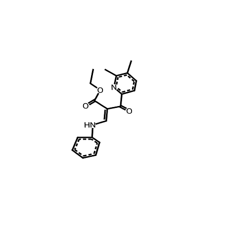 CCOC(=O)C(=CNc1ccccc1)C(=O)c1ccc(C)c(C)n1